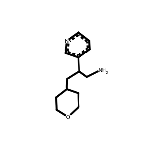 NCC(CC1CCOCC1)c1cccnc1